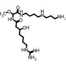 COC(NC(=O)CC(O)CCCCNC(=N)N)C(=O)NCCCCNCCCN